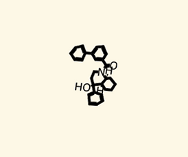 O=C(c1cccc(-c2ccccc2)c1)N1CC[C@@](O)(c2ccccc2)[C@@H]2CCCC[C@@H]21